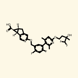 Cc1cc(OCCC(C)(O)C(F)F)nc(C)c1-c1cc(COc2cc3c(cn2)[C@H]2[C@@H](C3)[C@@H]2C(=O)O)c(F)cc1F